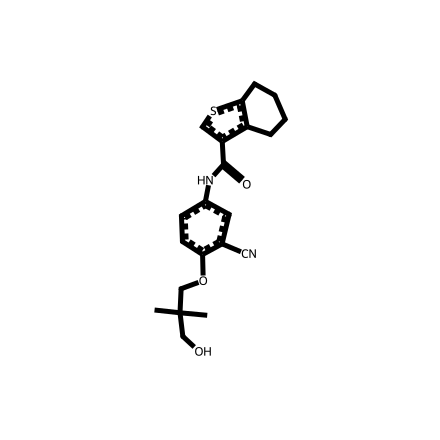 CC(C)(CO)COc1ccc(NC(=O)c2csc3c2CCCC3)cc1C#N